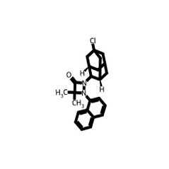 CC1(C)C(=O)N(C2[C@H]3CC4C[C@H]2CC(Cl)(C4)C3)N1c1cccc2ccccc12